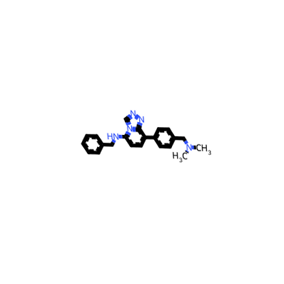 CN(C)Cc1ccc(-c2ccc(NCc3ccccc3)n3cnnc23)cc1